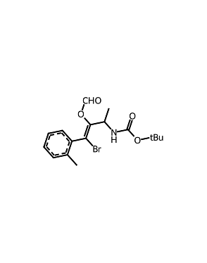 Cc1ccccc1/C(Br)=C(\OC=O)C(C)NC(=O)OC(C)(C)C